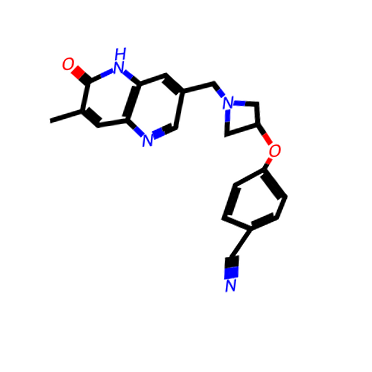 Cc1cc2ncc(CN3CC(Oc4ccc(C#N)cc4)C3)cc2[nH]c1=O